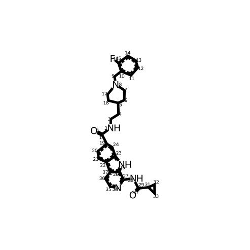 O=C(NCCC1CCN(Cc2ccccc2F)CC1)c1ccc2c(c1)[nH]c1c(NC(=O)C3CC3)nccc12